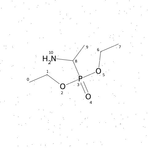 CCOP(=O)(OCC)C(C)N